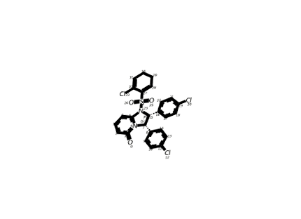 O=c1cccc2n1[C@@H](c1ccc(Cl)cc1)[C@@H](c1ccc(Cl)cc1)N2S(=O)(=O)C1=CCCC=C1Cl